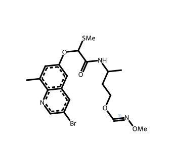 CO/N=C/OCCC(C)NC(=O)C(Oc1cc(C)c2ncc(Br)cc2c1)SC